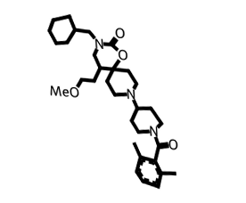 COCCC1CN(CC2CCCCC2)C(=O)OC12CCN(C1CCN(C(=O)c3c(C)cccc3C)CC1)CC2